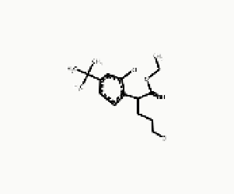 CCOC(=N)C(CCCCl)c1ccc(C(C)(C)C)cc1Cl